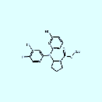 CC(C)(C)OC(=O)N1CCCC1N(c1ccc(F)c(Cl)c1)c1cccc(C#N)n1